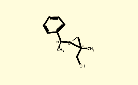 C[C@@H](c1ccccc1)[C@@H]1C[C@]1(C)CO